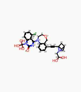 O=c1nc(N2CCOCc3c(C#CC45CC(CN4CC(O)O)C5)cccc32)c2c(F)cccc2n1C(O)(O)O